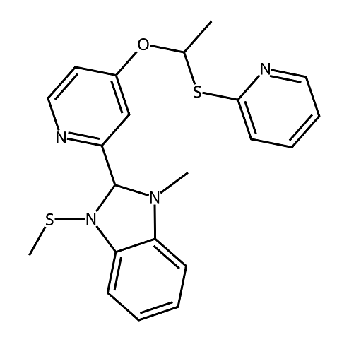 CSN1c2ccccc2N(C)C1c1cc(OC(C)Sc2ccccn2)ccn1